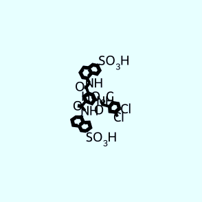 O=C(Nc1cccc2cc(S(=O)(=O)O)ccc12)c1cc(NC(=O)c2cc(Cl)c(Cl)cc2C(=O)O)cc(C(=O)Nc2cccc3cc(S(=O)(=O)O)ccc23)c1